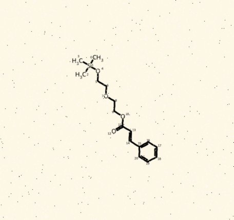 C[Si](C)(C)OCCOCCOC(=O)C=Cc1ccccc1